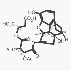 CC(=O)O[C@@H](C(=O)OC1=CC[C@]2(O)[C@H]3CCC[C@]24c2c(ccc(O)c2O[C@H]14)C3)[C@@H](OC(C)=O)C(=O)O[C@@H](CC(=O)O)C(=O)O